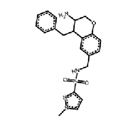 Cn1ccc(S(=O)(=O)NCc2ccc3c(c2)C(Cc2ccccc2)C(N)CO3)n1